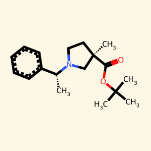 C[C@H](c1ccccc1)N1CC[C@@](C)(C(=O)OC(C)(C)C)C1